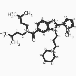 CC(C)CCN(CCC(C)C)C(=O)c1ccc2nc(-c3cccn3C)n(CCCN3CCCCC3)c2c1